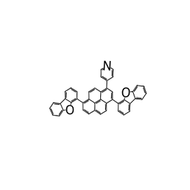 c1ccc2c(c1)oc1c(-c3ccc4ccc5c(-c6cccc7c6oc6ccccc67)cc(-c6ccncc6)c6ccc3c4c65)cccc12